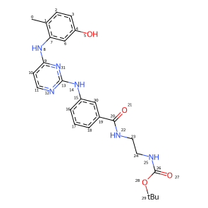 Cc1ccc(O)cc1Nc1ccnc(Nc2cccc(C(=O)NCCNC(=O)OC(C)(C)C)c2)n1